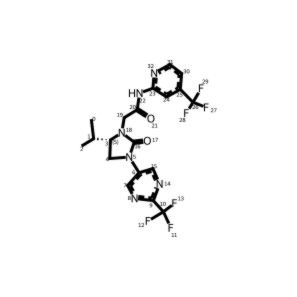 CC(C)[C@H]1CN(c2cnc(C(F)(F)F)nc2)C(=O)N1CC(=O)Nc1cc(C(F)(F)F)ccn1